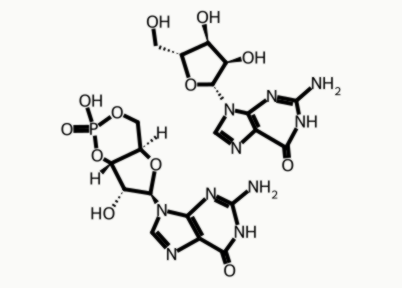 Nc1nc2c(ncn2[C@@H]2O[C@@H]3COP(=O)(O)O[C@H]3[C@H]2O)c(=O)[nH]1.Nc1nc2c(ncn2[C@@H]2O[C@H](CO)[C@@H](O)[C@H]2O)c(=O)[nH]1